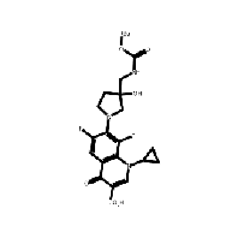 CC(C)(C)OC(=O)NCC1(O)CCN(c2c(F)cc3c(=O)c(C(=O)O)cn(C4CC4)c3c2F)C1